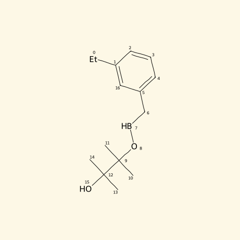 CCc1cccc(CBOC(C)(C)C(C)(C)O)c1